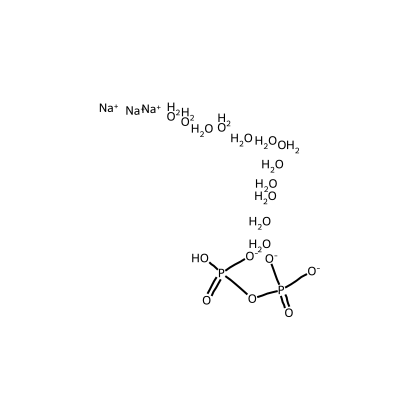 O.O.O.O.O.O.O.O.O.O.O.O.O=P([O-])([O-])OP(=O)([O-])O.[Na+].[Na+].[Na+]